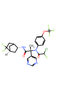 C[C@](C(=O)N[C@@H]1C[C@@H]2CC1CC2(F)F)(c1cncnc1)N(C(=O)[C@H](F)Cl)c1ccc(OC(F)(F)F)cc1